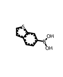 OB(O)c1ccc2ccsc2c1